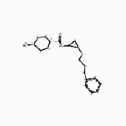 O=C(NC1CC1OCCCc1ccccc1)[C@H]1CC[C@H](O)CC1